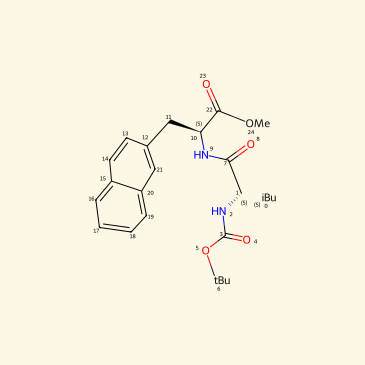 CC[C@H](C)[C@H](NC(=O)OC(C)(C)C)C(=O)N[C@@H](Cc1ccc2ccccc2c1)C(=O)OC